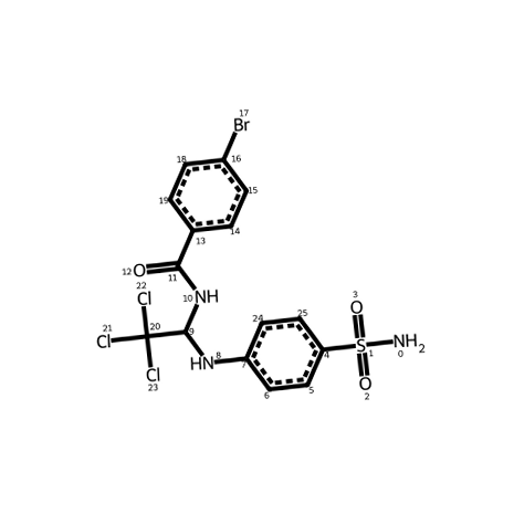 NS(=O)(=O)c1ccc(NC(NC(=O)c2ccc(Br)cc2)C(Cl)(Cl)Cl)cc1